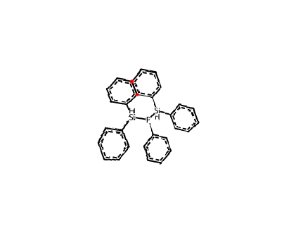 c1ccc([SiH](c2ccccc2)P(c2ccccc2)[SiH](c2ccccc2)c2ccccc2)cc1